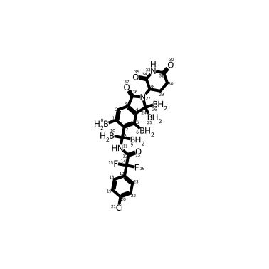 Bc1cc2c(c(B)c1C(B)(B)NC(=O)C(F)(F)c1ccc(Cl)cc1)C(B)(B)N(C1CCC(=O)NC1=O)C2=O